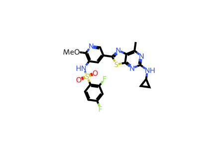 COc1ncc(-c2nc3c(C)nc(NC4CC4)nc3s2)cc1NS(=O)(=O)c1ccc(F)cc1F